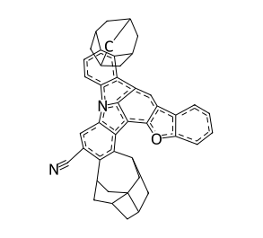 N#Cc1cc2c(c3c1C1CC4CC5CC3CC45C1)c1c3oc4ccccc4c3cc3c4c5c(ccc4n2c31)C1CC2CC(C1)CC5C2